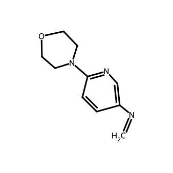 C=Nc1ccc(N2CCOCC2)nc1